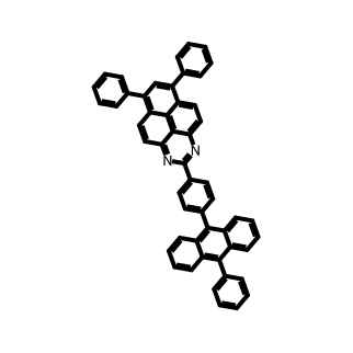 c1ccc(-c2c3ccccc3c(-c3ccc(-c4nc5ccc6c(-c7ccccc7)cc(-c7ccccc7)c7ccc(n4)c5c67)cc3)c3ccccc23)cc1